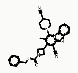 Cc1c(C2CN(C(=O)OCc3ccccc3)C2)c(C#N)c2nc3ccccc3n2c1N1CCC(C#N)CC1